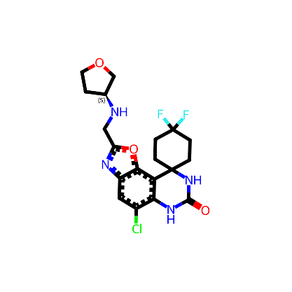 O=C1Nc2c(Cl)cc3nc(CN[C@H]4CCOC4)oc3c2C2(CCC(F)(F)CC2)N1